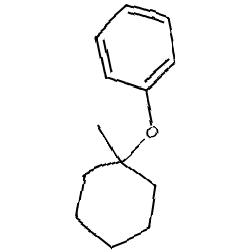 CC1(Oc2ccccc2)CCCCC1